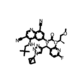 COC[C@@H](C)OC(=O)N(c1cc(C#N)c2ncc(C#N)c(NCC(C)(C)C)c2c1)[C@H](c1cn(C23CC(C2)C3)nn1)c1ccc(F)nc1C